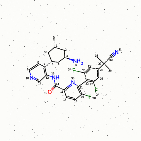 C[C@@H]1C[C@@H](N)C[C@H](c2ccncc2NC(=O)c2ccc(F)c(-c3c(F)cc(C(C)(C)C#N)cc3F)n2)C1